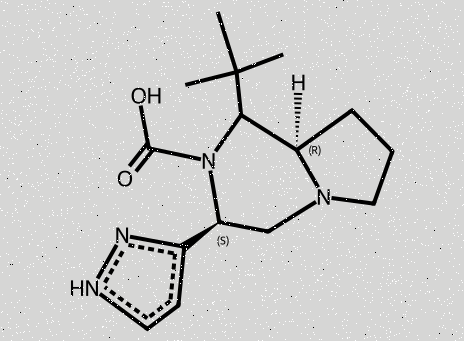 CC(C)(C)C1[C@H]2CCCN2C[C@@H](c2cc[nH]n2)N1C(=O)O